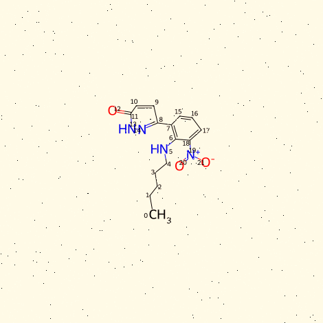 CCCCCNc1c(-c2ccc(=O)[nH]n2)cccc1[N+](=O)[O-]